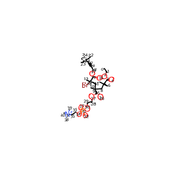 CCOC(=O)C(C)(C)CC(C)(CC(C)(Br)C(=O)OCC#C[Si](C)(C)C)C(=O)OCCOP(=O)([O-])OCC[N+](C)(C)C